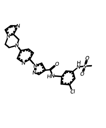 CS(=O)(=O)Nc1cc(Cl)cc(NC(=O)c2cnn(-c3ccc(N4CCn5ccnc5C4)cn3)c2)c1